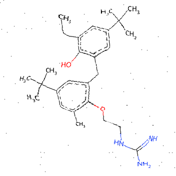 CCc1cc(C(C)(C)C)cc(Cc2cc(C(C)(C)C)cc(C)c2OCCNC(=N)N)c1O